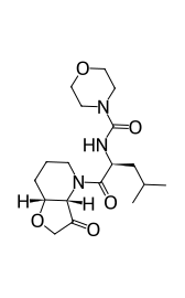 CC(C)C[C@H](NC(=O)N1CCOCC1)C(=O)N1CCC[C@H]2OCC(=O)[C@H]21